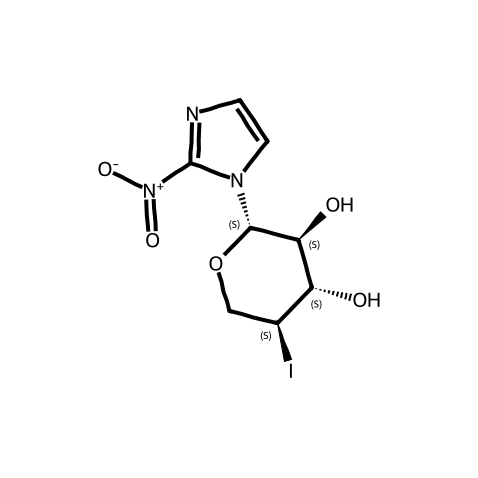 O=[N+]([O-])c1nccn1[C@H]1OC[C@H](I)[C@@H](O)[C@@H]1O